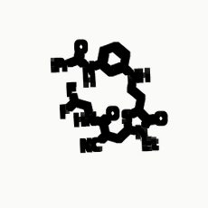 CCN1C(=O)C(CCNc2cccc(NC(=O)C(C)C)c2)SC1CC(C#N)C(=O)NCC(F)F